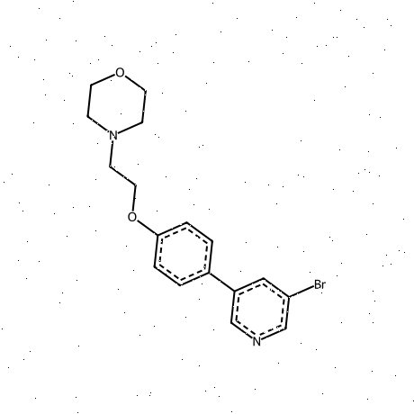 Brc1cncc(-c2ccc(OCCN3CCOCC3)cc2)c1